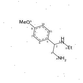 CCNC(CN)c1ccc(OC)cc1